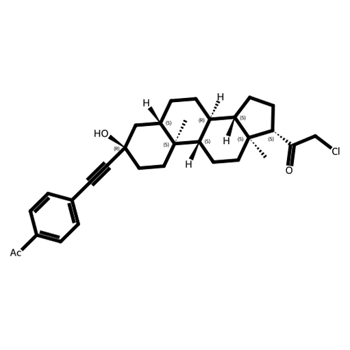 CC(=O)c1ccc(C#C[C@@]2(O)CC[C@@]3(C)[C@@H](CC[C@@H]4[C@@H]3CC[C@]3(C)[C@@H](C(=O)CCl)CC[C@@H]43)C2)cc1